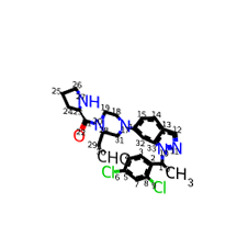 CC(c1ccc(Cl)cc1Cl)n1ncc2ccc(N3CCN(C(=O)[C@H]4CCCN4)C(CC=O)C3)cc21